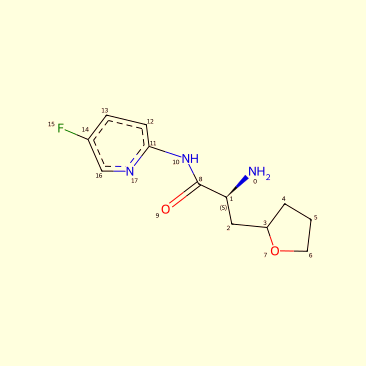 N[C@@H](CC1CCCO1)C(=O)Nc1ccc(F)cn1